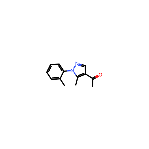 CC(=O)c1cnn(-c2ccccc2C)c1C